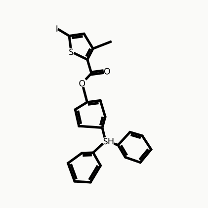 Cc1cc(I)sc1C(=O)Oc1ccc([SH](c2ccccc2)c2ccccc2)cc1